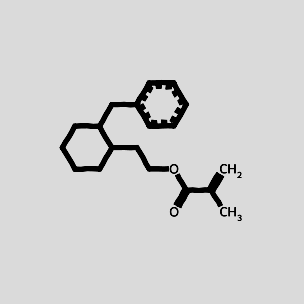 C=C(C)C(=O)OCCC1CCCCC1Cc1ccccc1